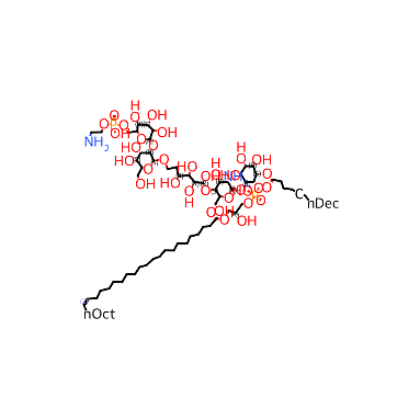 CCCCCCCC/C=C\CCCCCCCCCCCCCCCCCCCC(=O)OC[C@@H](O)COP(=O)(O)OC1[C@H](O[C@H]2OC(CO)[C@@H](O[C@@H](O)[C@H](O)C(O)[C@H](O)CCO[C@H]3OC(CO)[C@@H](O)C(O)[C@H]3O[C@H]3OC(COP(=O)(O)OCCN)[C@H](O)[C@H](O)C3O)[C@H](O)C2N)C(O)C(O)[C@@H](O)[C@@H]1OC(=O)CCCCCCCCCCCCCCC